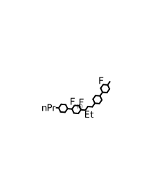 CCCC1CCC(C2CCC(C(CC)CCC3CCC(C4CCC(C)C(F)C4)CC3)[C@H](F)C2F)CC1